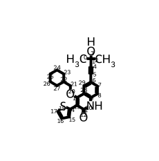 CC(C)(O)C#Cc1ccc2[nH]c(=O)c(-c3cccs3)c(OCC3CCCCC3)c2c1